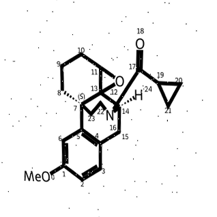 COc1ccc2c(c1)[C@@]13CCCC4OC41[C@@H](C2)N(C(=O)C1CC1)CC3